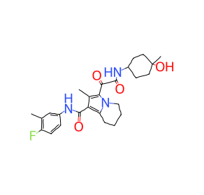 Cc1cc(NC(=O)c2c(C)c(C(=O)C(=O)NC3CCC(C)(O)CC3)n3c2CCCC3)ccc1F